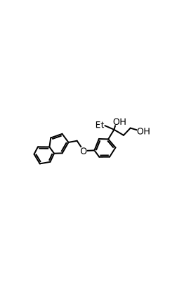 CCC(O)(CCO)c1cccc(OCc2ccc3ccccc3c2)c1